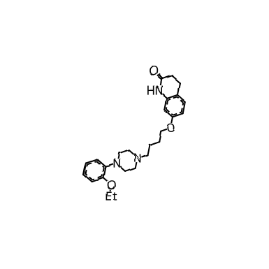 CCOc1ccccc1N1CCN(CCCCOc2ccc3c(c2)NC(=O)CC3)CC1